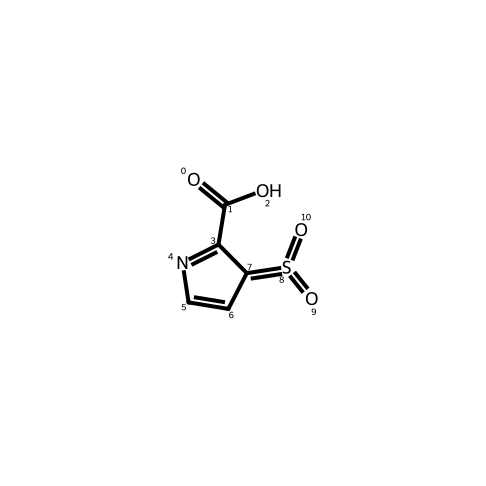 O=C(O)C1=NC=CC1=S(=O)=O